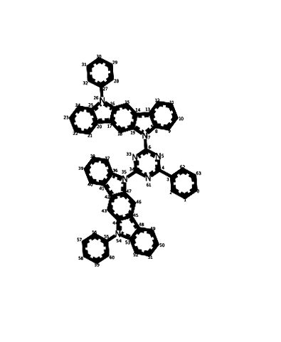 c1ccc(-c2nc(-n3c4ccccc4c4cc5c(cc43)c3ccccc3n5-c3ccccc3)nc(-n3c4ccccc4c4cc5c(cc43)c3ccccc3n5-c3ccccc3)n2)cc1